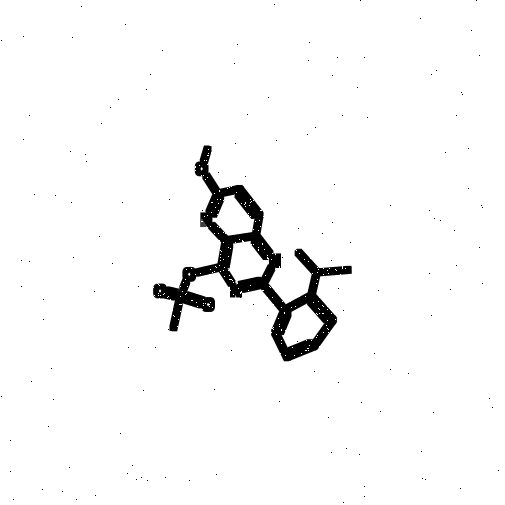 COc1ccc2nc(-c3ccccc3C(C)C)nc(OS(C)(=O)=O)c2n1